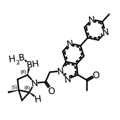 BB[C@@H]1C[C@@]2(C)C[C@H]2N1C(=O)Cn1nc(C(C)=O)c2cc(-c3cnc(C)nc3)ncc21